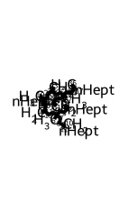 C=C(CCCCCCC)CCC(C)(CCC(=C)CCCCCCC)CCC(=C)CCN(C)CCC(=C)CCC(C)(CCC(=C)CCCCCCC)CCC(=C)CCCCCCC